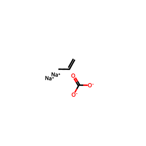 C=CC.O=C([O-])[O-].[Na+].[Na+]